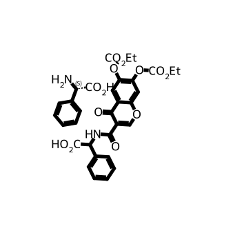 CCOC(=O)Oc1cc2occ(C(=O)NC(C(=O)O)c3ccccc3)c(=O)c2cc1OC(=O)OCC.N[C@H](C(=O)O)c1ccccc1